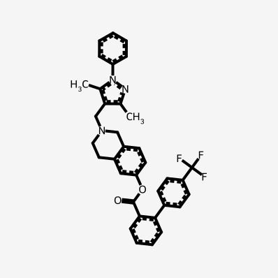 Cc1nn(-c2ccccc2)c(C)c1CN1CCc2cc(OC(=O)c3ccccc3-c3ccc(C(F)(F)F)cc3)ccc2C1